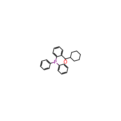 O=C(c1ccccc1P(c1ccccc1)c1ccccc1)C1CCCCC1